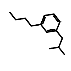 CCCCc1cc[c]c(CC(C)C)c1